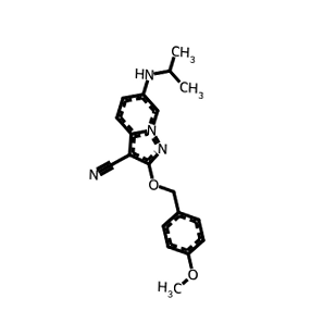 COc1ccc(COc2nn3cc(NC(C)C)ccc3c2C#N)cc1